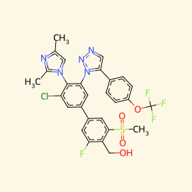 Cc1cn(-c2c(Cl)cc(-c3cc(F)c(CO)c(S(C)(=O)=O)c3)cc2-n2nncc2-c2ccc(OC(F)(F)F)cc2)c(C)n1